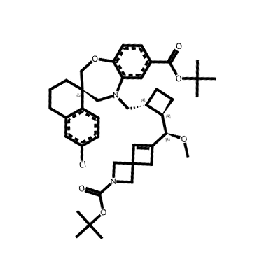 CO[C@@H](C1=CC2(C1)CN(C(=O)OC(C)(C)C)C2)[C@@H]1CC[C@H]1CN1C[C@@]2(CCCc3cc(Cl)ccc32)COc2ccc(C(=O)OC(C)(C)C)cc21